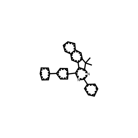 CC1(C)c2cc3ccccc3cc2-c2c(-c3ccc(-c4ccccc4)cc3)nc(-c3ccccc3)nc21